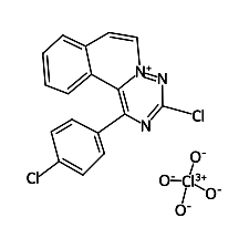 Clc1ccc(-c2nc(Cl)n[n+]3ccc4ccccc4c23)cc1.[O-][Cl+3]([O-])([O-])[O-]